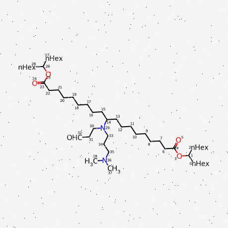 CCCCCCC(CCCCCC)OC(=O)CCCCCCCCC(CCCCCCCCC(=O)OC(CCCCCC)CCCCCC)N(CCC=O)CCCN(C)C